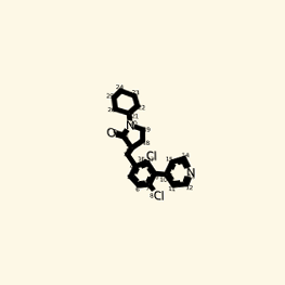 O=C1C(Cc2ccc(Cl)c(-c3ccncc3)c2Cl)CCN1C1CCCCC1